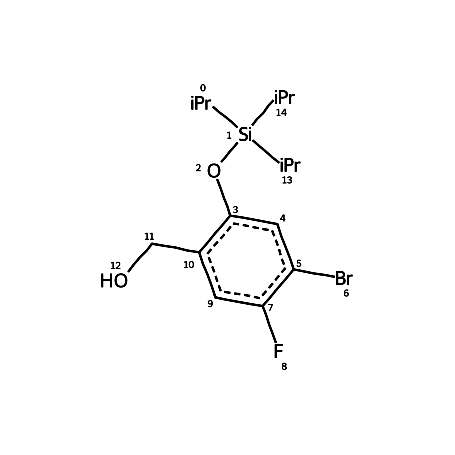 CC(C)[Si](Oc1cc(Br)c(F)cc1CO)(C(C)C)C(C)C